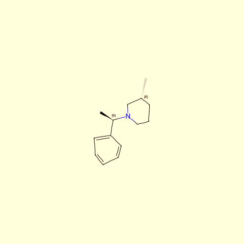 C[C@@H]1CCCN([C@H](C)c2ccccc2)C1